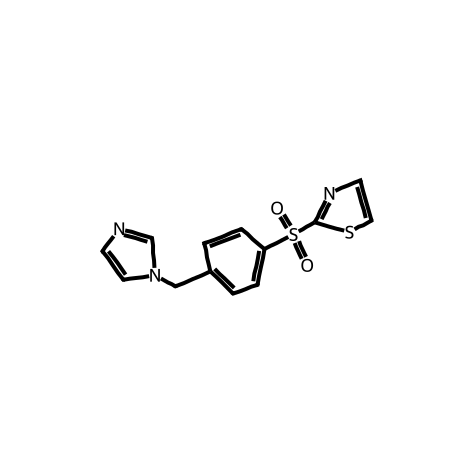 O=S(=O)(c1ccc(Cn2ccnc2)cc1)c1nccs1